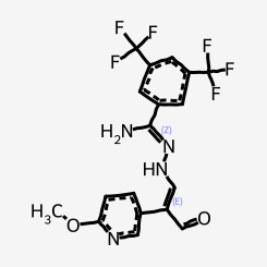 COc1ccc(/C(C=O)=C\N/N=C(\N)c2cc(C(F)(F)F)cc(C(F)(F)F)c2)cn1